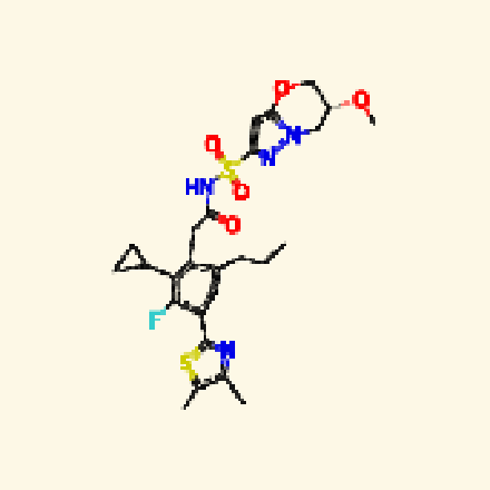 CCCc1cc(-c2nc(C)c(C)s2)c(F)c(C2CC2)c1CC(=O)NS(=O)(=O)c1cc2n(n1)C[C@@H](OC)CO2